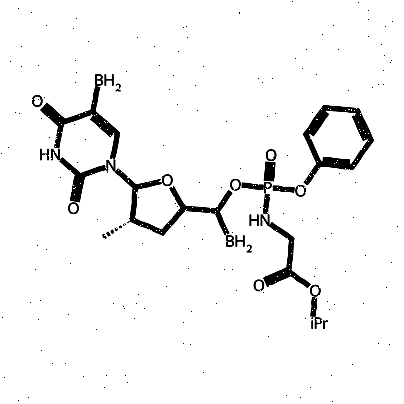 Bc1cn(C2OC(C(B)OP(=O)(NCC(=O)OC(C)C)Oc3ccccc3)C[C@@H]2C)c(=O)[nH]c1=O